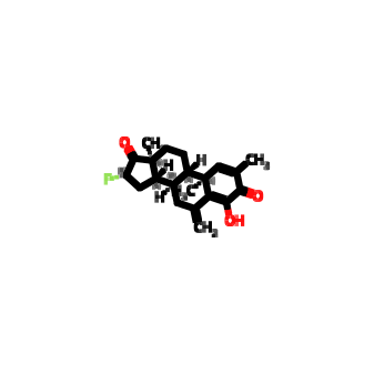 C=C1C[C@@H]2[C@H](CC[C@]3(C)C(=O)[C@@H](F)C[C@@H]23)[C@@]2(C)C=C(C)C(=O)C(O)=C12